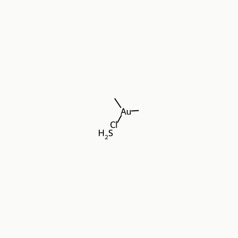 S.[CH3][Au]([CH3])[Cl]